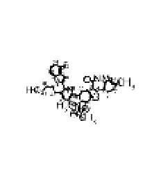 CNC(=O)c1c(-c2ccc(C)cc2)oc2cc(N(C)S(C)(=O)=O)c(-c3ccc4c(n3)-c3cc5c(F)cccc5n3C(CCO)C4)cc12